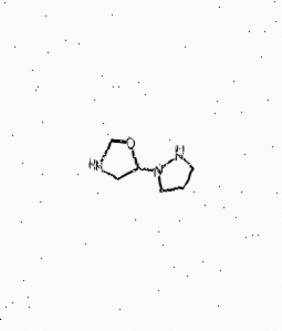 C1CNN(C2CNCO2)C1